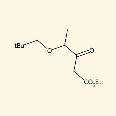 CCOC(=O)CC(=O)C(C)OCC(C)(C)C